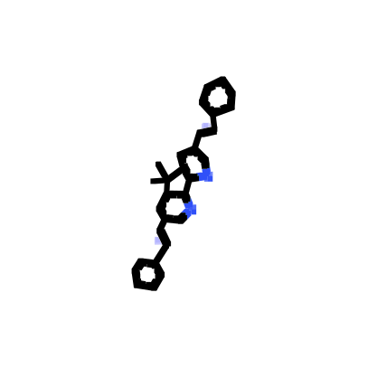 CC1(C)c2cc(/C=C/c3ccccc3)cnc2-c2ncc(/C=C/c3ccccc3)cc21